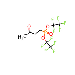 CC(=O)CCP(=O)(OC(F)(F)C(F)(F)F)OC(F)(F)C(F)(F)F